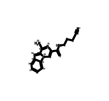 C=C(NCCCC#N)c1cn2c(nc3ccccc32)c(N)n1